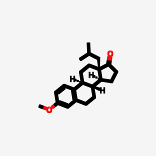 COc1ccc2c(c1)CC[C@@H]1[C@@H]2CC[C@]2(CC(C)C)C(=O)CC[C@@H]12